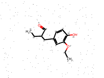 CCOc1cc(CC(C=O)CC)ccc1O